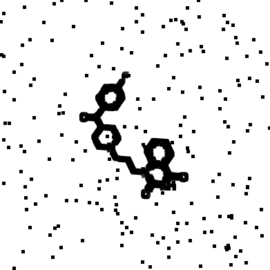 O=C(c1ccc(F)cc1)C1CCN(CCCn2c(=O)[nH]c(=O)c3ccccc32)CC1